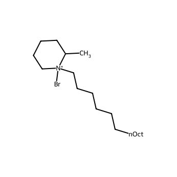 CCCCCCCCCCCCCC[N+]1(Br)CCCCC1C